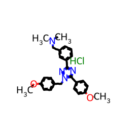 COc1ccc(Cn2nc(-c3cccc(CN(C)C)c3)nc2-c2ccc(OC)cc2)cc1.Cl